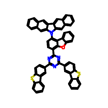 c1ccc2cc3c(cc2c1)c1cc2ccccc2cc1n3-c1ccc(-c2nc(-c3ccc4sc5ccccc5c4c3)nc(-c3ccc4sc5ccccc5c4c3)n2)c2oc3ccccc3c12